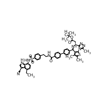 CCc1ccc(NS(=O)(=O)c2ccc(CCNC(=O)c3ccc(-c4ccc(C5=N[C@@H](CC(=O)OC(C)(C)C)c6nnc(C)n6-c6sc(C)c(C)c65)cc4)cc3)cc2)c2[nH]cc(C#N)c12